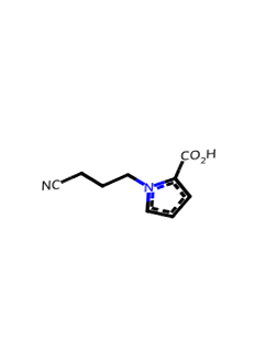 N#CCCCn1cccc1C(=O)O